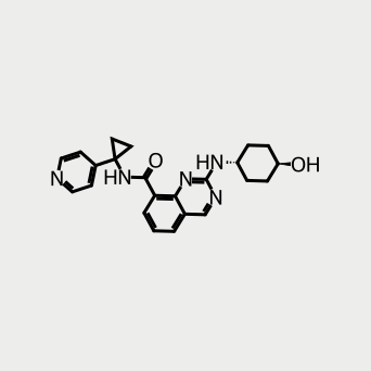 O=C(NC1(c2ccncc2)CC1)c1cccc2cnc(N[C@H]3CC[C@H](O)CC3)nc12